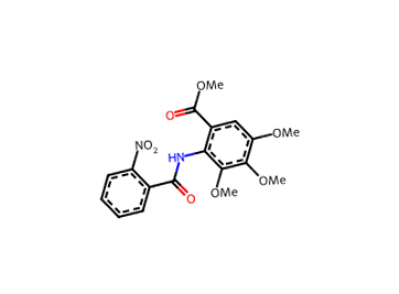 COC(=O)c1cc(OC)c(OC)c(OC)c1NC(=O)c1ccccc1[N+](=O)[O-]